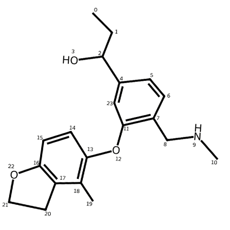 CCC(O)c1ccc(CNC)c(Oc2ccc3c(c2C)CCO3)c1